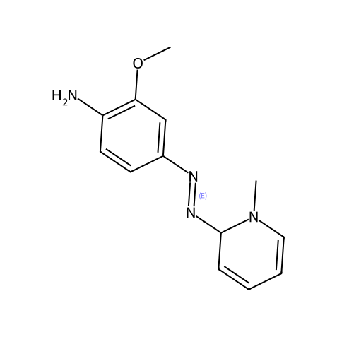 COc1cc(/N=N/C2C=CC=CN2C)ccc1N